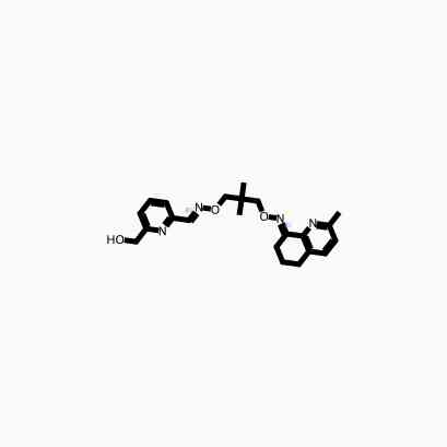 Cc1ccc2c(n1)/C(=N/OCC(C)(C)CO/N=C/c1cccc(CO)n1)CCC2